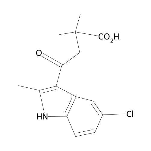 Cc1[nH]c2ccc(Cl)cc2c1C(=O)CC(C)(C)C(=O)O